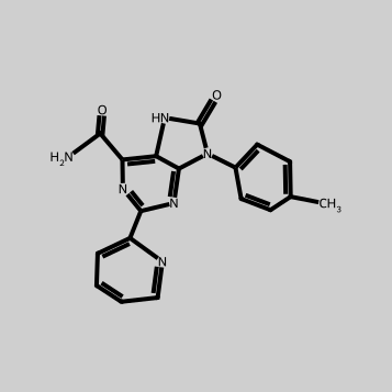 Cc1ccc(-n2c(=O)[nH]c3c(C(N)=O)nc(-c4ccccn4)nc32)cc1